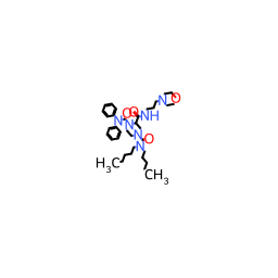 CCCCCN(CCCCC)C(=O)N1CCN(C(=O)N(c2ccccc2)c2ccccc2)C(C(=O)NCCCN2CCOCC2)C1